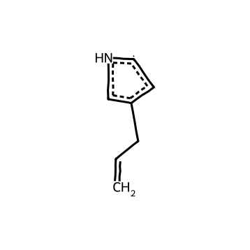 C=CCc1c[c][nH]c1